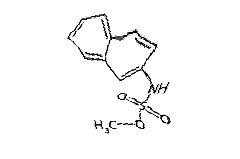 COS(=O)(=O)Nc1ccc2ccccc2c1